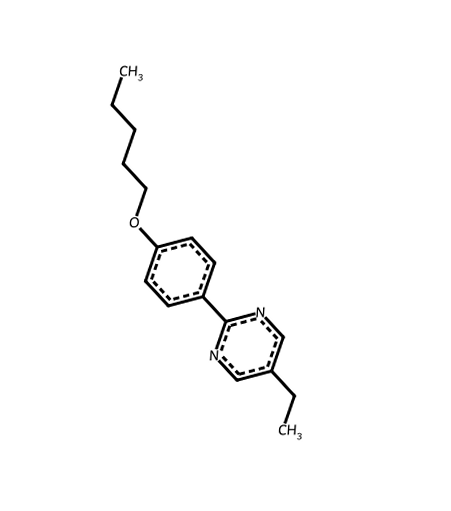 CCCCCOc1ccc(-c2ncc(CC)cn2)cc1